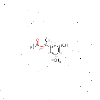 CCC(=O)O[C@H](C)c1cc(C)cc(C)c1